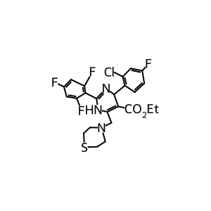 CCOC(=O)C1=C(CN2CCSCC2)NC(c2c(F)cc(F)cc2F)=NC1c1ccc(F)cc1Cl